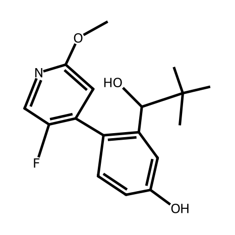 COc1cc(-c2ccc(O)cc2C(O)C(C)(C)C)c(F)cn1